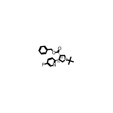 CC(C)(C)N1C[C@@H](C(=O)OCc2ccccc2)[C@H](c2ccc(F)cn2)C1